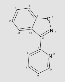 c1ccc(-c2noc3ccccc23)nc1